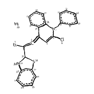 CCC(=C=C1C=C(Cl)N(c2ccccc2)c2ccccc21)C1Nc2ccccc2S1.I